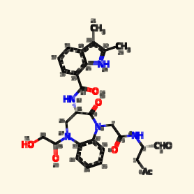 CC(=O)C[C@@H](C=O)NC(=O)CN1C(=O)[C@@H](NC(=O)c2cccc3c(C)c(C)[nH]c23)CN(C(=O)CO)c2ccccc21